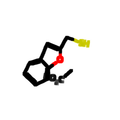 CC(=O)O.SCc1cc2ccccc2o1